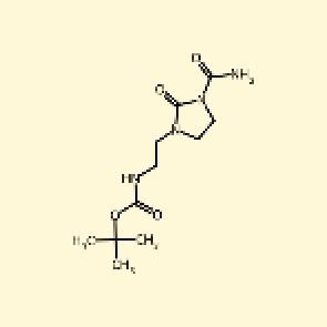 CC(C)(C)OC(=O)NCCN1CCN(C(N)=O)C1=O